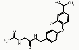 CC(O)c1ccc(Oc2ccc(CNC(=O)CNC(=O)C(F)(F)F)cc2)c(Cl)c1